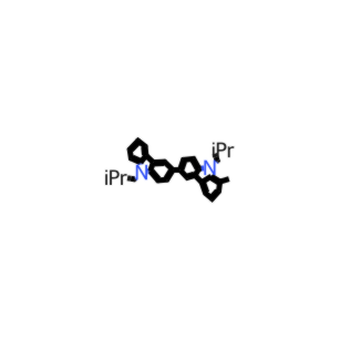 Cc1cccc2c3cc(-c4ccc5c(c4)c4ccccc4n5CC(C)C)ccc3n(CC(C)C)c12